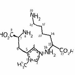 Cn1cncc1C[C@H](N)C(=O)O.NCCCCC(N)C(=O)O